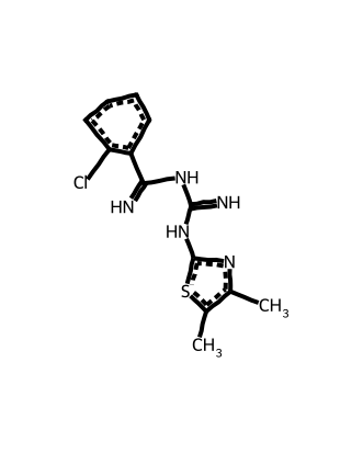 Cc1nc(NC(=N)NC(=N)c2ccccc2Cl)sc1C